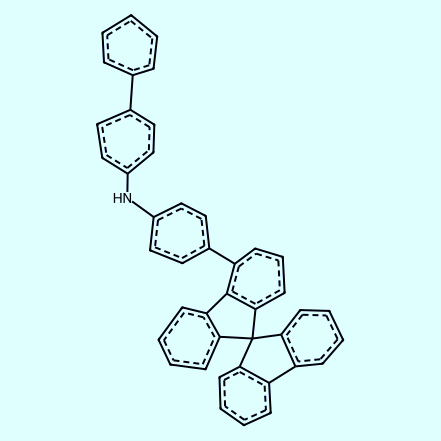 c1ccc(-c2ccc(Nc3ccc(-c4cccc5c4-c4ccccc4C54c5ccccc5-c5ccccc54)cc3)cc2)cc1